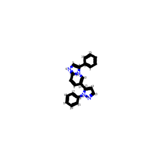 c1ccc(-c2cnc3ccc(-c4ccnn4-c4ccccc4)cn23)cc1